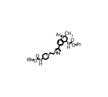 CC(=O)N1c2ccc(-c3cnn(CCN4CCC(NC(=O)OC(C)(C)C)CC4)c3)cc2[C@@H](NC(=O)OC(C)C)C[C@H]1C